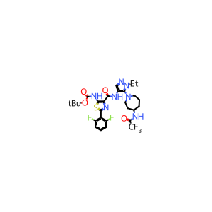 CCn1ncc(NC(=O)c2nc(-c3c(F)cccc3F)sc2NC(=O)OC(C)(C)C)c1N1CCCC(NC(=O)C(F)(F)F)CC1